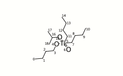 CCCC[O][Ti](=[O])([CH2]CCC)([CH2]CCC)[O]C(C)C